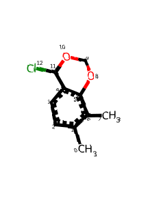 Cc1ccc2c(c1C)OCOC2Cl